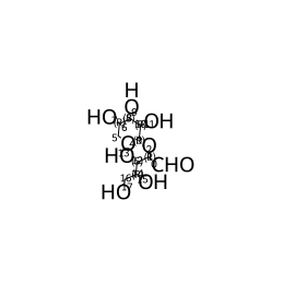 O=C[C@H](O[C@H]1OC[C@@H](O)[C@H](O)[C@H]1O)[C@@H](O)[C@H](O)CO